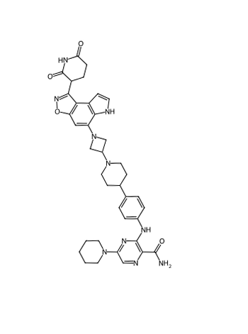 NC(=O)c1ncc(N2CCCCC2)nc1Nc1ccc(C2CCN(C3CN(c4cc5onc(C6CCC(=O)NC6=O)c5c5cc[nH]c45)C3)CC2)cc1